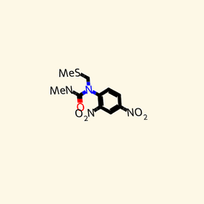 CNC(=O)N(CSC)c1ccc([N+](=O)[O-])cc1[N+](=O)[O-]